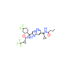 CCCC(=O)N[C@@H](c1cnn2cc([C@@H](NC(=O)C3CC3C(F)(F)F)C3CCC(F)(F)CC3)nc2c1)C1CC1